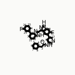 O=C(Cc1ccccc1)Nc1cncc(-c2cc3c(-c4nc5c(-c6cccc(F)c6)cccc5[nH]4)n[nH]c3cc2F)c1